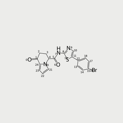 O=C1CCC(C(=O)Nc2ncc(-c3ccc(Br)cc3)s2)n2cccc21